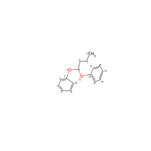 CCCC(Oc1ccccc1)Oc1ccccc1